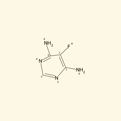 Nc1ncnc(N)c1F